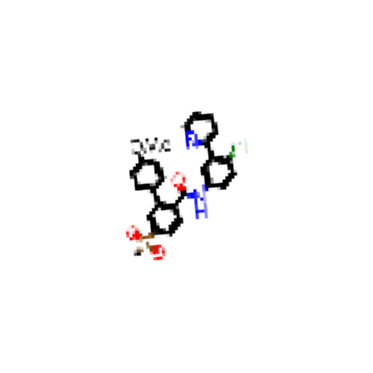 COc1ccc(-c2cc(S(C)(=O)=O)ccc2C(=O)Nc2ccc(Cl)c(-c3ccccn3)c2)cc1